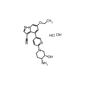 CCOc1cc(-c2ccc(N3CC[C@H](N)[C@H](O)C3)nc2)c2c(C#N)cnn2c1.Cl.Cl